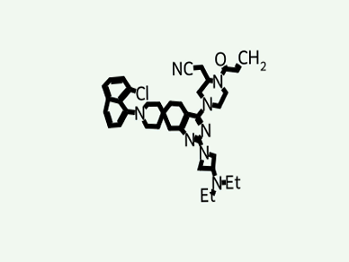 C=CC(=O)N1CCN(c2nc(N3CC(N(CC)CC)C3)nc3c2CCC2(CCN(c4cccc5cccc(Cl)c45)CC2)C3)CC1CC#N